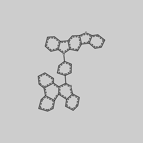 c1ccc2c(c1)nc(-c1ccc(-n3c4ccccc4c4cc5sc6ccccc6c5cc43)cc1)c1c3ccccc3c3ccccc3c21